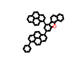 c1ccc(-c2ccc3ccc4c(-c5cc(-c6ccc7ccc8cccc9ccc6c7c89)c6c(c5)oc5c7ccccc7ccc56)ccc5ccc2c3c54)cc1